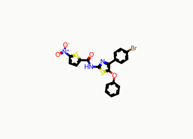 O=C(Nc1nc(-c2ccc(Br)cc2)c(Oc2ccccc2)s1)c1ccc([N+](=O)[O-])s1